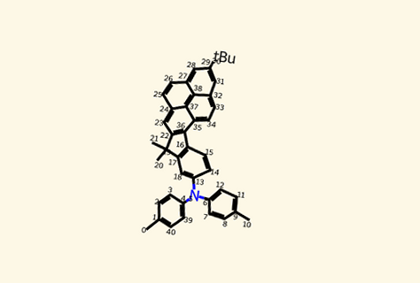 Cc1ccc(N(c2ccc(C)cc2)c2ccc3c(c2)C(C)(C)c2cc4ccc5cc(C(C)(C)C)cc6ccc(c2-3)c4c56)cc1